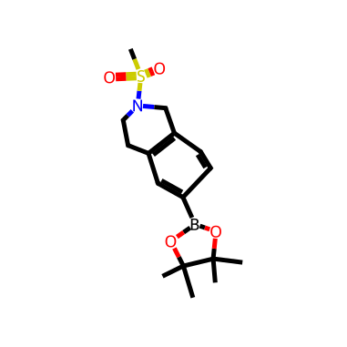 CC1(C)OB(c2ccc3c(c2)CCN(S(C)(=O)=O)C3)OC1(C)C